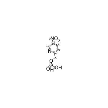 O=[N+]([O-])c1ccc(CO[PH](=O)O)nc1